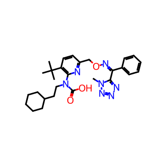 Cn1nnnc1C(=NOCc1ccc(C(C)(C)C)c(N(CCC2CCCCC2)C(=O)O)n1)c1ccccc1